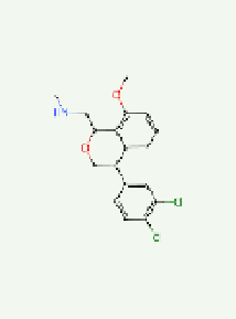 CNCC1OCC(c2ccc(Cl)c(Cl)c2)c2cccc(OC)c21